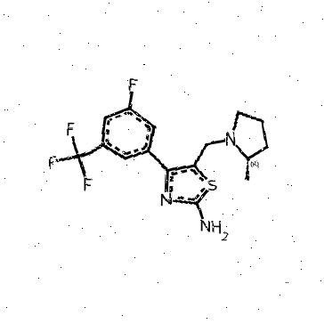 C[C@@H]1CCCN1Cc1sc(N)nc1-c1cc(F)cc(C(F)(F)F)c1